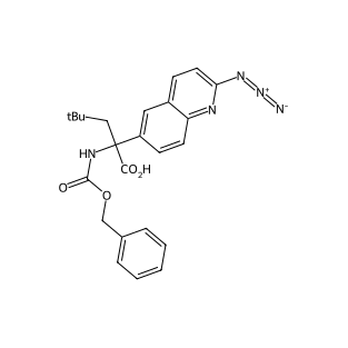 CC(C)(C)CC(NC(=O)OCc1ccccc1)(C(=O)O)c1ccc2nc(N=[N+]=[N-])ccc2c1